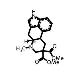 COC(=O)C1(C(=O)OC)CC2c3cccc4[nH]cc(c34)C[C@H]2N(C)C1